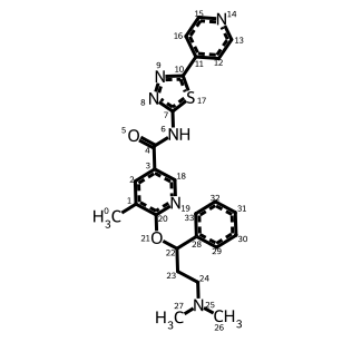 Cc1cc(C(=O)Nc2nnc(-c3ccncc3)s2)cnc1OC(CCN(C)C)c1ccccc1